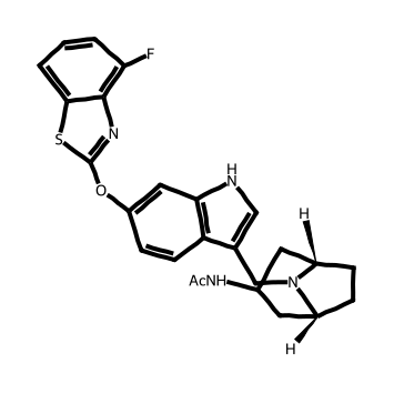 CC(=O)NC1C[C@H]2CC[C@@H](C1)N2Cc1c[nH]c2cc(Oc3nc4c(F)cccc4s3)ccc12